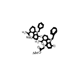 COC(=O)COc1ccc(Cl)c2c1c1c(n2Cc2ccccc2)CCCC1C(N)=O.COc1ccc(Cl)c2c1c1c(n2Cc2ccccc2)CCCC1C(N)=O